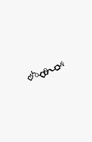 CC(COc1ccc2cc(C=Cc3ccc(N(C)C)cc3)oc2c1)N1CCCC1